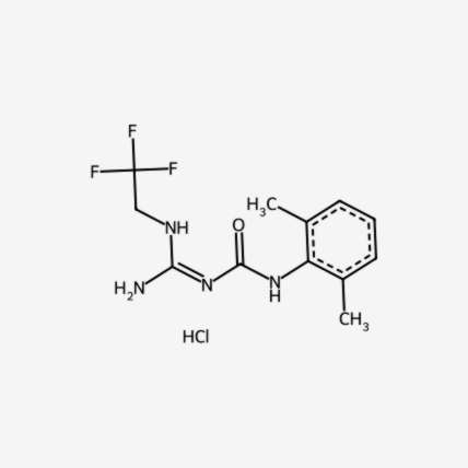 Cc1cccc(C)c1NC(=O)N=C(N)NCC(F)(F)F.Cl